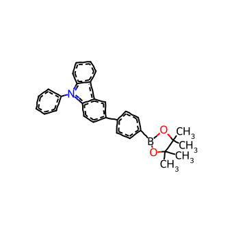 CC1(C)OB(c2ccc(-c3ccc4c(c3)c3ccccc3n4-c3ccccc3)cc2)OC1(C)C